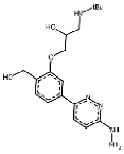 CC(C)(C)NCC(O)COc1cc(-c2ccc(NN)nn2)ccc1CO